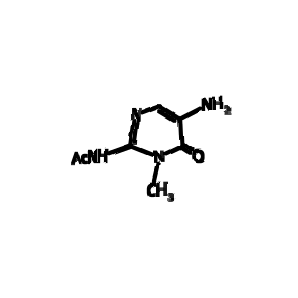 CC(=O)Nc1ncc(N)c(=O)n1C